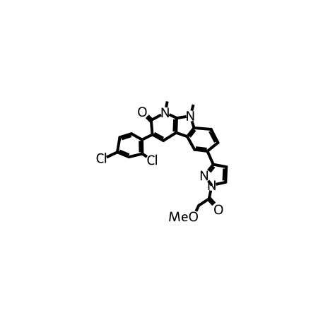 COCC(=O)n1ccc(-c2ccc3c(c2)c2cc(-c4ccc(Cl)cc4Cl)c(=O)n(C)c2n3C)n1